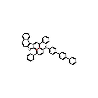 c1ccc(-c2ccc(-c3ccc(N(c4ccc(-c5ccccc5)cc4)c4ccccc4-c4ccc5oc6ccc7ccccc7c6c5c4)cc3)cc2)cc1